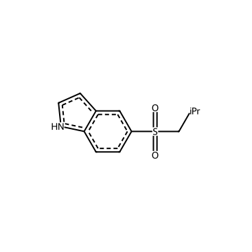 CC(C)CS(=O)(=O)c1ccc2[nH]ccc2c1